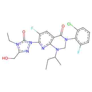 CCC(C)N1CN(c2c(F)cccc2Cl)C(=O)c2cc(F)c(-n3nc(CO)n(CC)c3=O)nc21